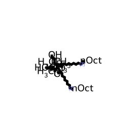 CCCCCCCC/C=C\CCCCCCCC(=O)OC(C[N+](C)(C)CCO)C(OC(=O)CCCCCCC/C=C\CCCCCCCC)C(I)[N+](C)(C)CCO